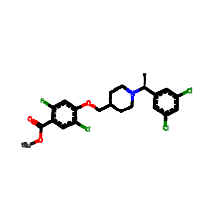 C[C@@H](c1cc(Cl)cc(Cl)c1)N1CCC(COc2cc(F)c(C(=O)OC(C)(C)C)cc2Cl)CC1